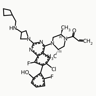 C=CC(=O)N1C[C@H](C)N(c2nc(N3CC(NCC4CCC4)C3)nc3c(F)c(-c4c(O)cccc4F)c(Cl)cc23)C[C@H]1C